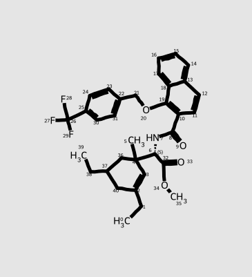 CCC1=CC(C)([C@H](NC(=O)c2ccc3ccccc3c2OCc2ccc(C(F)(F)F)cc2)C(=O)OC)CC(CC)C1